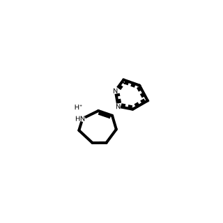 C1=CNCCCC1.[H+].c1ccnnc1